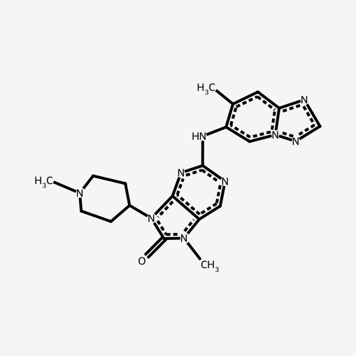 Cc1cc2ncnn2cc1Nc1ncc2c(n1)n(C1CCN(C)CC1)c(=O)n2C